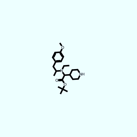 CCN(C(C)Cc1ccc(OC)cc1)C(C(=O)OC(C)(C)C)C1CCNCC1